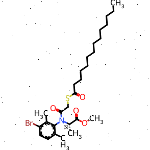 CCCCCCCCCCCCCC(=O)SCC(=O)N(c1c(C)ccc(Br)c1C)[C@@H](C)C(=O)OC